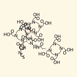 O=C(O)CN1CCN(CC(=O)O)CCN([C@@H](CCC(=O)NCCN(C[C@H](Cc2ccc(N=C=S)cc2)NC(=O)CC[C@@H](C(=O)O)N2CCN(CC(=O)O)CCN(CC(=O)O)CCN(CC(=O)O)CC2)C(=O)CC[C@@H](C(=O)O)N2CCN(CC(=O)O)CCN(CC(=O)O)CCN(CC(=O)O)CC2)C(=O)O)CCN(CC(=O)O)CC1